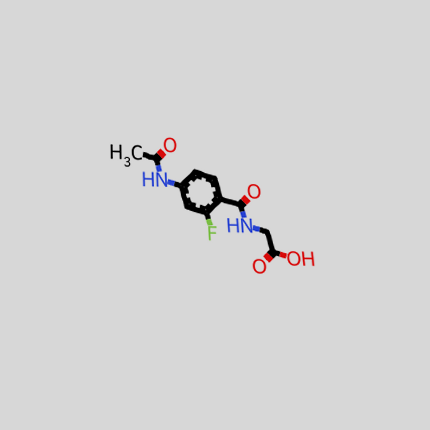 CC(=O)Nc1ccc(C(=O)NCC(=O)O)c(F)c1